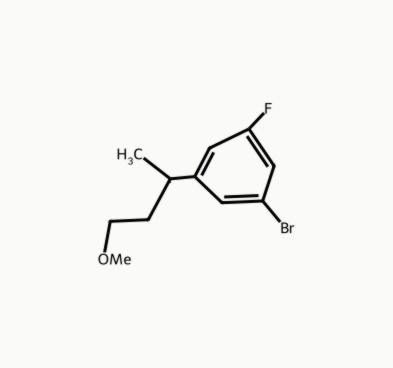 COCC[C](C)c1cc(F)cc(Br)c1